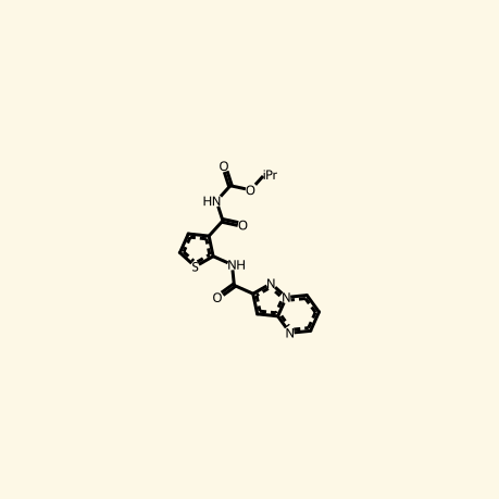 CC(C)OC(=O)NC(=O)c1ccsc1NC(=O)c1cc2ncccn2n1